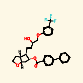 O=C(O[C@@H]1C[C@@H]2OCC[C@@H]2[C@H]1/C=C/[C@@H](O)COc1cccc(C(F)(F)F)c1)c1ccc(-c2ccccc2)cc1